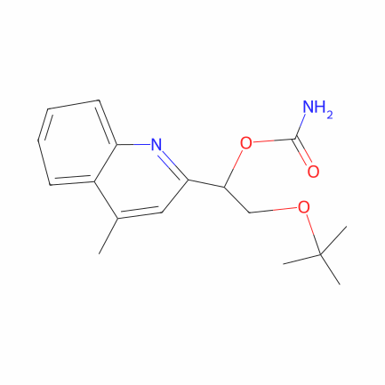 Cc1cc(C(COC(C)(C)C)OC(N)=O)nc2ccccc12